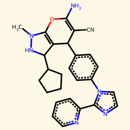 CN1NC(C2CCCC2)C2=C1OC(N)=C(C#N)C2c1ccc(-n2ccnc2-c2ccccn2)cc1